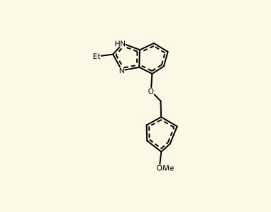 CCc1nc2c(OCc3ccc(OC)cc3)cccc2[nH]1